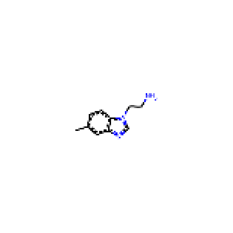 Cc1ccc2c(c1)ncn2CCN